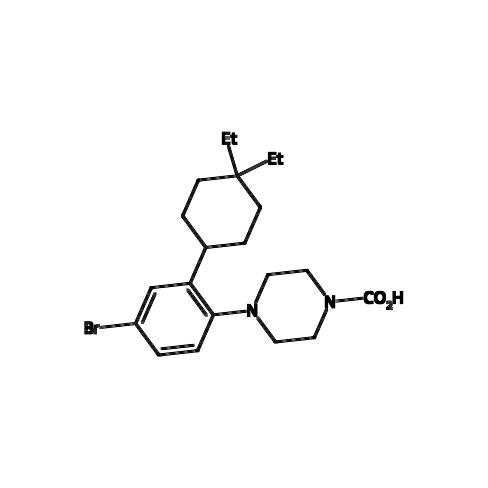 CCC1(CC)CCC(c2cc(Br)ccc2N2CCN(C(=O)O)CC2)CC1